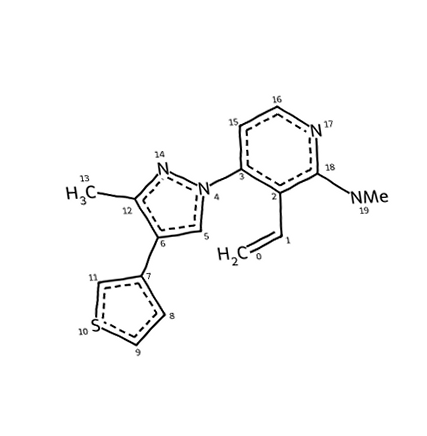 C=Cc1c(-n2cc(-c3ccsc3)c(C)n2)ccnc1NC